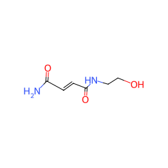 NC(=O)C=CC(=O)NCCO